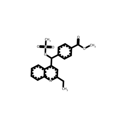 CCc1cc(C(OS(C)(=O)=O)c2ccc(C(=O)OC)cc2)c2ccccc2n1